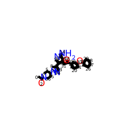 CC(=O)N1CCC(n2cc(-c3cnc(N)c4oc(-c5cccc(Oc6ccccc6)c5)cc34)cn2)CC1